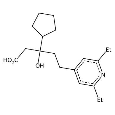 CCc1cc(CCC(O)(CC(=O)O)C2CCCC2)cc(CC)n1